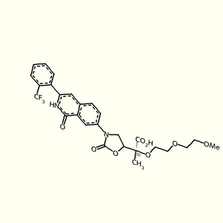 COCCOCCO[C@](C)(C(=O)O)C1CN(c2ccc3cc(-c4ccccc4C(F)(F)F)[nH]c(=O)c3c2)C(=O)O1